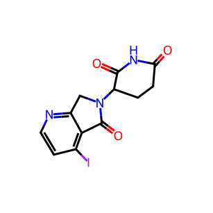 O=C1CCC(N2Cc3nccc(I)c3C2=O)C(=O)N1